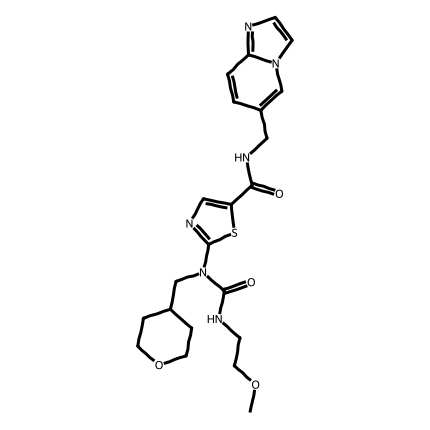 COCCNC(=O)N(CC1CCOCC1)c1ncc(C(=O)NCc2ccc3nccn3c2)s1